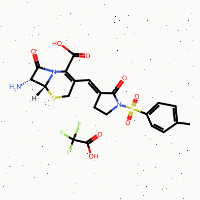 Cc1ccc(S(=O)(=O)N2CC/C(=C\C3=C(C(=O)O)N4C(=O)[C@@H](N)[C@H]4SC3)C2=O)cc1.O=C(O)C(F)(F)F